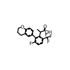 CC(C(=O)O)c1c(C(F)(F)F)ccc(F)c1-c1ccc2c(c1)CCCO2